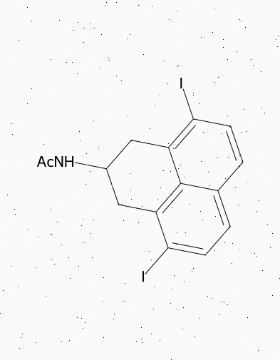 CC(=O)NC1Cc2c(I)ccc3ccc(I)c(c23)C1